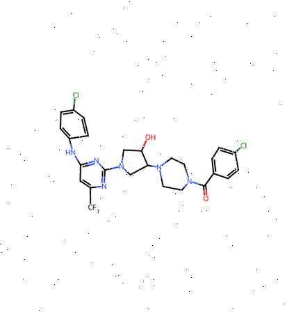 O=C(c1ccc(Cl)cc1)N1CCN(C2CN(c3nc(Nc4ccc(Cl)cc4)cc(C(F)(F)F)n3)CC2O)CC1